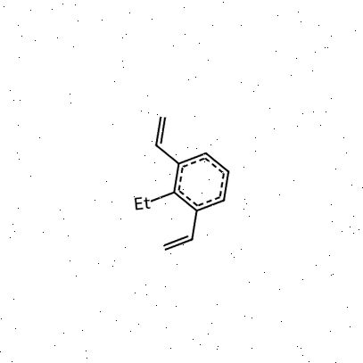 C=Cc1cccc(C=C)c1CC